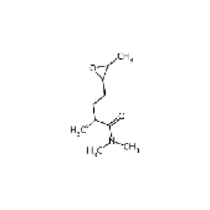 CC1O[C@@H]1CC[C@@H](C)C(=O)N(C)C